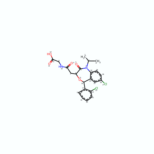 CC(C)N1C(=O)C(CC(=O)NCC(=O)O)OC(c2ccccc2Cl)c2cc(Cl)ccc21